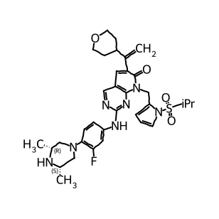 C=C(c1cc2cnc(Nc3ccc(N4C[C@@H](C)N[C@@H](C)C4)c(F)c3)nc2n(Cc2cccn2S(=O)(=O)C(C)C)c1=O)C1CCOCC1